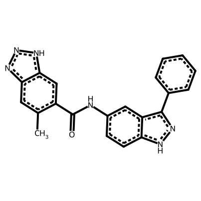 Cc1cc2nn[nH]c2cc1C(=O)Nc1ccc2[nH]nc(-c3ccccc3)c2c1